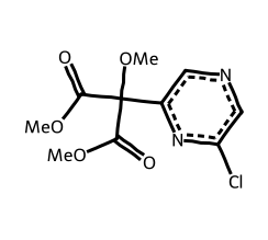 COC(=O)C(OC)(C(=O)OC)c1cncc(Cl)n1